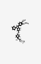 COc1cc(-c2nn(C3CCCC3)c3cc(COc4ccc([C@@H](C)CC(=O)O)cc4)ccc23)ccc1O